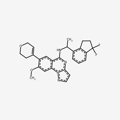 COc1cc2c(cc1C1=CCOCC1)c(NC(C)c1cccc3c1CCC3(F)F)nc1ccnn12